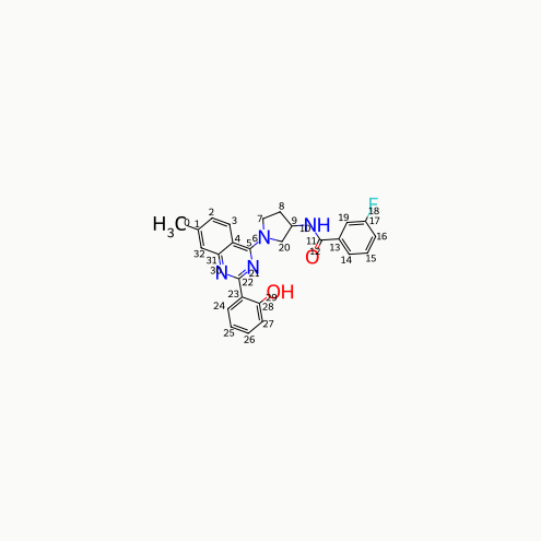 Cc1ccc2c(N3CCC(NC(=O)c4cccc(F)c4)C3)nc(-c3ccccc3O)nc2c1